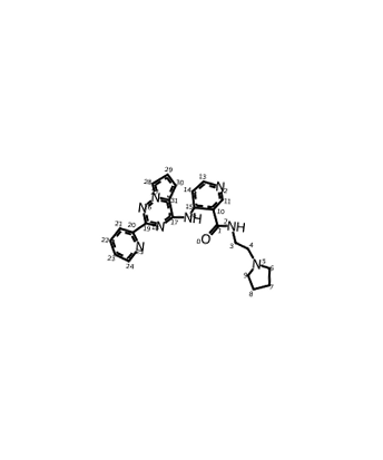 O=C(NCCN1CCCC1)c1cnccc1Nc1nc(-c2ccccn2)nn2cccc12